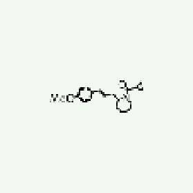 COc1ccc(C=CCC2CCCCN2C(=O)C2CC2)cc1